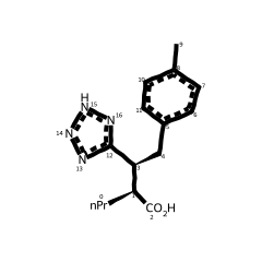 CCC[C@H](C(=O)O)[C@H](Cc1ccc(C)cc1)c1nn[nH]n1